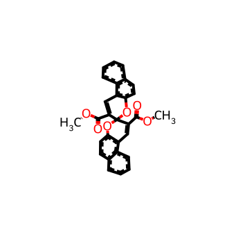 COC(=O)C1=Cc2c(ccc3ccccc23)OC12Oc1ccc3ccccc3c1C=C2C(=O)OC